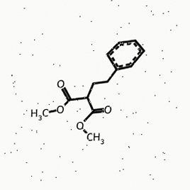 COC(=O)C(CCc1ccccc1)C(=O)OC